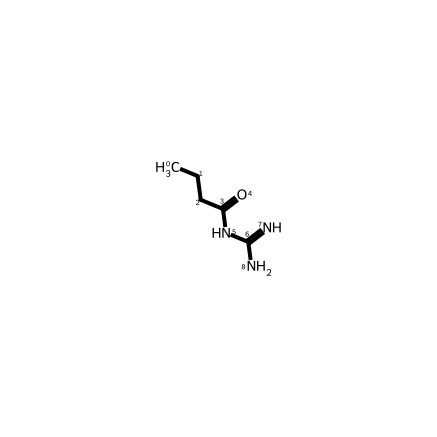 CCCC(=O)NC(=N)N